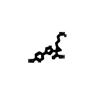 NCCCC1CC1(C(=O)O)c1cn(-c2ccc(O)nc2)cn1